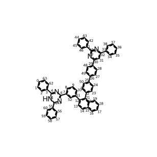 c1ccc(C2=NC(c3cccc(-c4ccc5ccccc5c4-c4ccc(-c5ccc(-c6cc(-c7ccccc7)nc(-c7ccccc7)n6)cc5)cc4)c3)=NC(c3ccccc3)N2)cc1